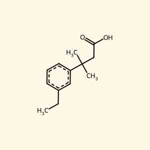 CCc1cccc(C(C)(C)CC(=O)O)c1